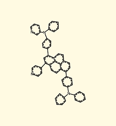 c1ccc(N(c2ccccc2)c2ccc(-c3ccc4ccc5c(-c6ccc(N(c7ccccc7)c7cccnc7)cc6)cc(-c6ccncc6)c6ccc3c4c56)cc2)cc1